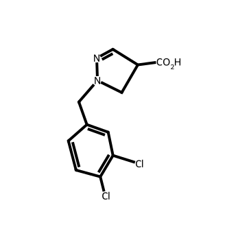 O=C(O)C1C=NN(Cc2ccc(Cl)c(Cl)c2)C1